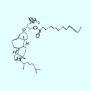 CCCCCCCCCCCC(=O)OCC(CN)O[C@H]1CC[C@@]2(C)C(=CC[C@H]3[C@@H]4CC[C@H]([C@H](C)CCCC(C)C)[C@@]4(C)CC[C@@H]32)C1